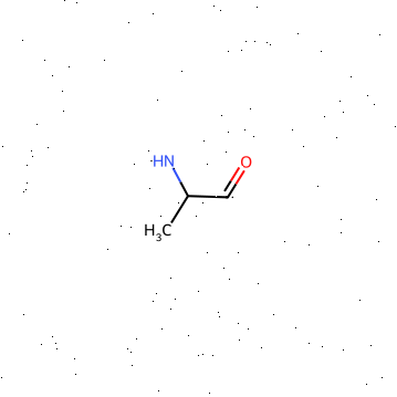 CC([NH])[C]=O